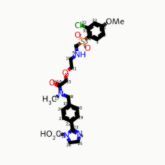 COc1ccc(S(=O)(=O)CNCCOCC(=O)N(C)Cc2ccc(C3=NCCN3C(=O)O)cc2)c(Cl)c1